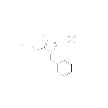 CCCCCCCCCCCc1n(Cc2ccccc2)cc[n+]1C.COS(=O)(=O)[O-]